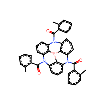 Cc1ccccc1C(=O)N1c2cccc3c2B2c4c1cccc4N(C(=O)c1ccccc1C)c1cccc(c12)N3C(=O)c1ccccc1C